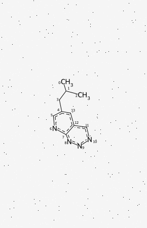 CC(C)Cc1cnc2nnncc2c1